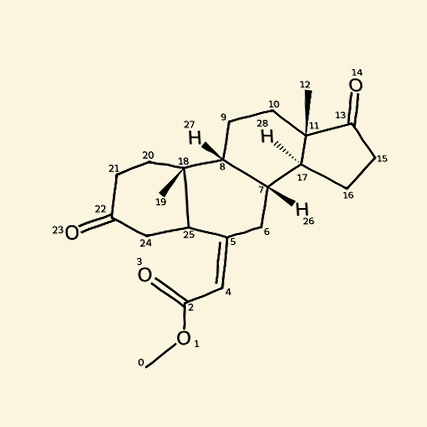 COC(=O)/C=C1/C[C@@H]2[C@@H](CC[C@]3(C)C(=O)CC[C@@H]23)[C@@]2(C)CCC(=O)CC12